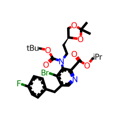 CC(C)OC(=O)c1ncc(Cc2ccc(F)cc2)c(Br)c1N(CC[C@H]1COC(C)(C)O1)C(=O)OC(C)(C)C